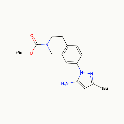 CC(C)(C)OC(=O)N1CCc2ccc(-n3nc(C(C)(C)C)cc3N)cc2C1